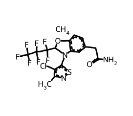 C.Cc1nsc(N2c3cc(CC(N)=O)ccc3OC2C(F)(F)C(F)(F)C(F)(F)F)c1Cl